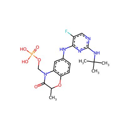 CC1Oc2ccc(Nc3nc(NC(C)(C)C)ncc3F)cc2N(COP(=O)(O)O)C1=O